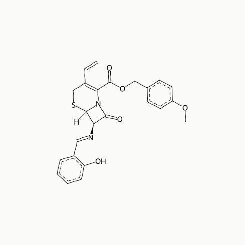 C=CC1=C(C(=O)OCc2ccc(OC)cc2)N2C(=O)[C@@H](N=Cc3ccccc3O)[C@H]2SC1